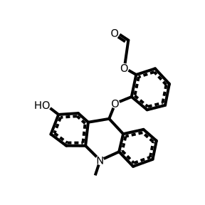 CN1c2ccccc2C(Oc2ccccc2OC=O)c2cc(O)ccc21